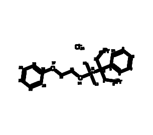 CC(C)CC(CC(C)C)(c1ccccc1)[N+](C)(C)OCCOc1ccccc1.[Cl-]